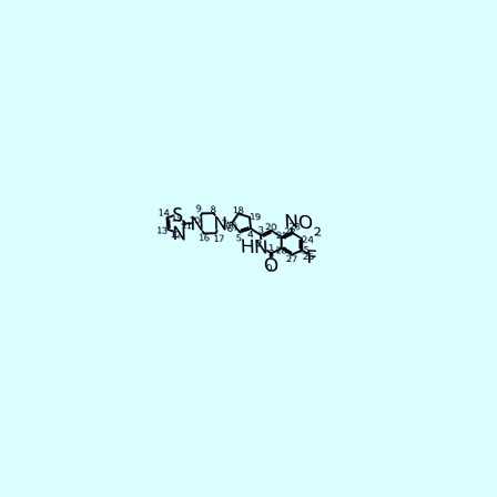 O=c1[nH]c(C2=C[C@H](N3CCN(c4nccs4)CC3)CC2)cc2c([N+](=O)[O-])cc(F)cc12